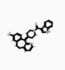 O=C(c1c[nH]c2ccccc12)N1CCC(=C2c3ccc(Cl)cc3CCc3cccnc32)CC1